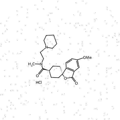 COc1ccc2c(c1)C(=O)O[C@]21CC[C@H](C(=O)N(C)CCN2CCCCC2)CC1.Cl